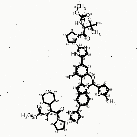 COC(=O)NC(C(=O)N1CCC[C@H]1c1ncc(-c2cc(F)c3c(c2)OC(c2ccc(C)s2)n2c-3cc3cc(-c4cnc([C@@H]5CCCN5C(=O)[C@@H](NC(=O)OC)C5CCOCC5)[nH]4)ccc32)[nH]1)C(C)(C)F